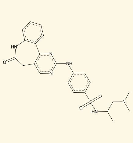 CC(CN(C)C)NS(=O)(=O)c1ccc(Nc2ncc3c(n2)-c2ccccc2NC(=O)C3)cc1